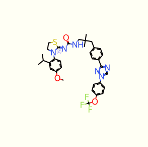 COc1ccc(N2CCS/C2=N\C(=O)NCC(C)(C)Cc2ccc(-c3ncn(-c4ccc(OC(F)(F)F)cc4)n3)cc2)c(C(C)C)c1